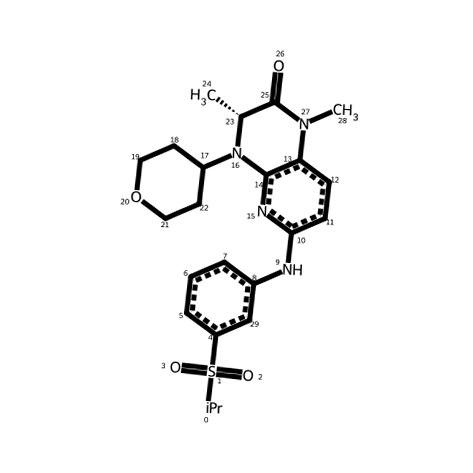 CC(C)S(=O)(=O)c1cccc(Nc2ccc3c(n2)N(C2CCOCC2)[C@H](C)C(=O)N3C)c1